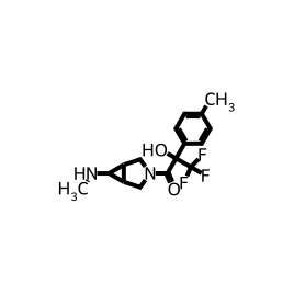 CNC1C2CN(C(=O)C(O)(c3ccc(C)cc3)C(F)(F)F)CC21